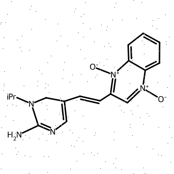 CC(C)N1CC(C=Cc2c[n+]([O-])c3ccccc3[n+]2[O-])=CN=C1N